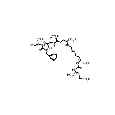 O=C(O)CC[C@@H](NC(=O)N[C@H](CCCOCNC(CCC(=O)N[C@@H](CC(=O)O)C(=O)N[C@@H](Cc1ccccc1)C(=O)N[C@@H](CS)C(=O)O)C(=O)O)C(=O)O)C(=O)O